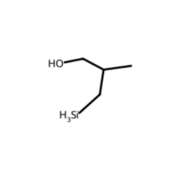 CC(CO)C[SiH3]